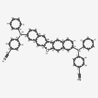 N#Cc1ccc(N(c2ccccc2)c2ccc3cc4c(cc3c2)oc2cc3cc(N(c5ccccc5)c5ccc(C#N)cc5)ccc3cc24)cc1